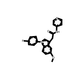 COc1ccc2c(c1)c(CC(=O)Nc1ccncc1)cn2-c1ccc(F)cc1